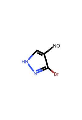 O=Nc1c[nH]nc1Br